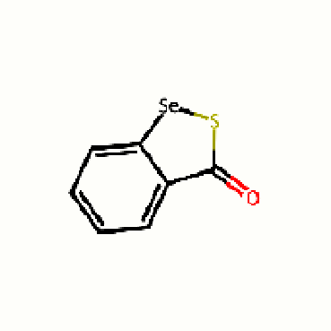 O=c1s[se]c2ccccc12